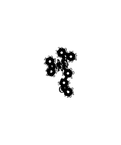 c1cc(-c2ccc3oc4ccccc4c3c2)cc(-c2nc(-n3c4ccccc4c4ccccc43)nc(-n3c4ccccc4c4ccccc43)n2)c1